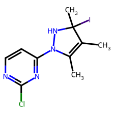 CC1=C(C)C(C)(I)NN1c1ccnc(Cl)n1